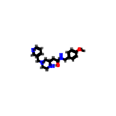 COc1ccc(CNC(=O)CC2CN(Cc3cccnc3)CCN2)cc1